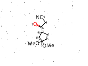 COC1(OC)CC[C@@H](C(=O)CC#N)C1